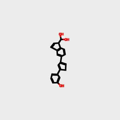 Oc1cccc(C2=CC(c3ccc4c(c3)C=CC4C(O)O)=CC2)c1